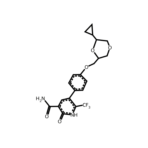 NC(=O)c1cc(-c2ccc(OCC3COCC(C4CC4)O3)cc2)c(C(F)(F)F)[nH]c1=O